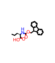 CCC[C@@H](NC(=O)OCC1c2ccccc2-c2ccccc21)C(=O)O